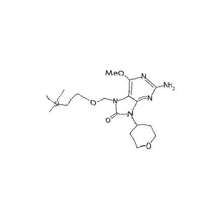 COc1nc(N)nc2c1n(COCC[Si](C)(C)C)c(=O)n2C1CCOCC1